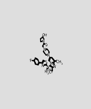 CCc1nc2c(C)cc(N3CCN(CC(=O)N4CC[C@H](O)C4)CC3)cn2c1N(C)c1nc(-c2ccc(F)cc2)cs1